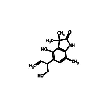 C=CC(CO)c1cc(C)c2c(c1O)C(C)(C)C(=O)N2